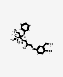 CCC(NCC(O)COc1ccc(O)c(CO)c1)(Oc1ccccc1)P(=O)(O)O